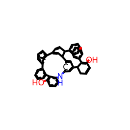 Cc1c2cccc1-c1ccccc1-c1c(O)cccc1NC1C=C(C3CC=CC(O)=C3c3ccccc3)C=C(C1)C1C=C2C=CC1c1ccccc1